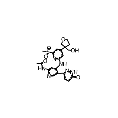 CC(=O)Nc1cc(Nc2cc(C3(CO)CCOC3)cc(S(C)(=O)=O)n2)c(-c2ccc(=O)[nH]n2)cn1